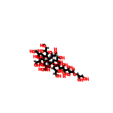 O=C(OCC(O)CO)C(O)C(O)C(O)C(O)C(O)C(O)C(CC(O)CO)C(CC(O)CO)C(CC(O)CO)C(CC(O)CO)C(CC(O)CO)C(CC(O)CO)C(CC(O)CO)C(CC(O)CO)C(CCO)CC(O)CO